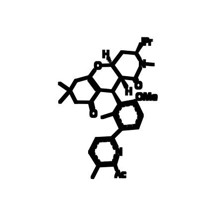 COc1ccc(-c2ccc(C)c(C(C)=O)n2)c(C)c1[C@H]1C2=C(CC(C)(C)CC2=O)O[C@H]2C[C@@H](C(C)C)N(C)C(=O)[C@@H]21